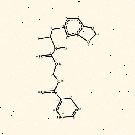 CC(Cc1ccc2c(c1)OCO2)N(C)C(=O)OCOC(=O)C1=CNC=CC1